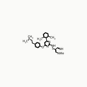 CN/C=C(\C=N)SNc1nc(Oc2ccc(CCP(C)C)cc2)cc(-c2c(C)cccc2C)n1